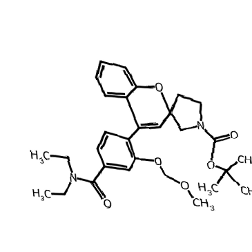 CCN(CC)C(=O)c1ccc(C2=CC3(CCN(C(=O)OC(C)(C)C)C3)Oc3ccccc32)c(OCOC)c1